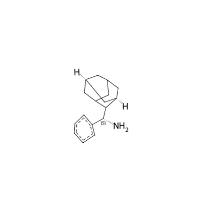 N[C@H](c1ccccc1)C1C2CC3C[C@H](C2)C[C@H]1C3